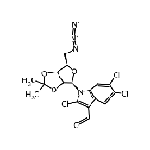 CC1(C)OC2C(O1)[C@@H](CN=[N+]=[N-])O[C@H]2n1c(Cl)c(C=O)c2cc(Cl)c(Cl)cc21